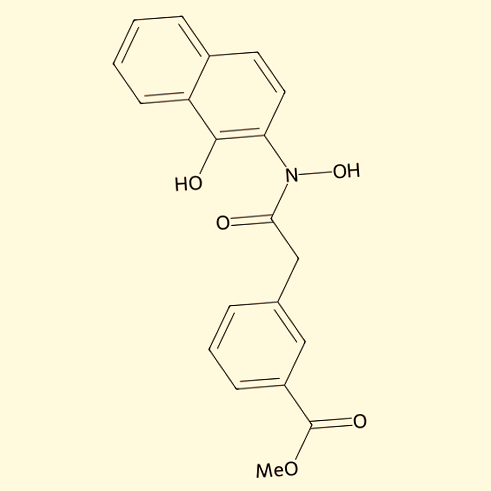 COC(=O)c1cccc(CC(=O)N(O)c2ccc3ccccc3c2O)c1